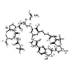 CC(=O)N1CC[C@H]2CC[C@@H](C(=O)N[C@@H](CCC(N)=O)COc3cc(C)cc(CCCC(=O)NC(C(=O)N4C[C@H](O)C[C@H]4C(=O)N[C@@H](C)c4ccc(-c5scnc5C)cc4)C(C)(C)C)c3Cl)N2C(=O)[C@@H](NC(=O)OC(C)(C)C)C1